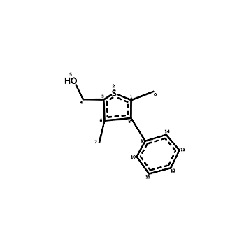 Cc1sc(CO)c(C)c1-c1ccccc1